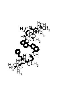 C[C@@H](CC(=O)NCc1cccc2ccc(-c3ccc4cccc(CNC(=O)C[C@H](C)NC(=O)[C@H](CC(=O)NC(C)(C)C)NC(=O)OC(C)(C)C)c4c3)cc12)NC(=O)[C@H](CCC(=O)NC(C)(C)C)NC(=O)CCc1ccccc1